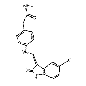 NC(=O)Cc1ccc(NC=C2C(=O)Nc3ccc(Cl)cc32)cc1